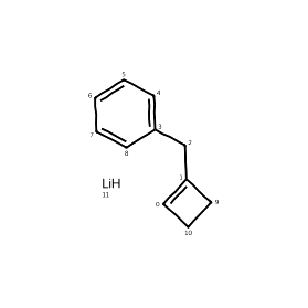 C1=C(Cc2ccccc2)CC1.[LiH]